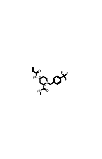 C=CC(=O)N[C@@H]1CCN(Cc2ccc(C(F)(F)F)cc2)[C@@H](C(=O)NC)C1